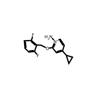 N[n+]1ccc(C2CC2)cc1OCc1c(F)cccc1F